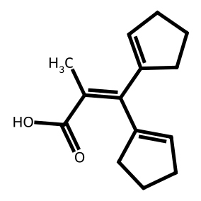 CC(C(=O)O)=C(C1=CCCC1)C1=CCCC1